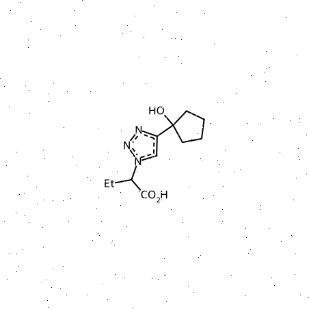 CCC(C(=O)O)n1cc(C2(O)CCCC2)nn1